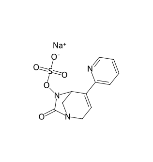 O=C1N2CC=C(c3ccccn3)C(C2)N1OS(=O)(=O)[O-].[Na+]